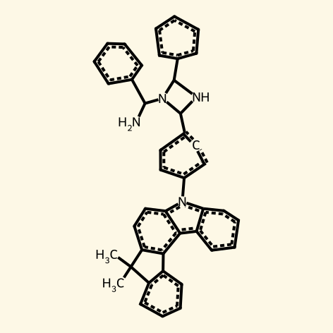 CC1(C)c2ccccc2-c2c1ccc1c2c2ccccc2n1-c1ccc(C2NC(c3ccccc3)N2C(N)c2ccccc2)cc1